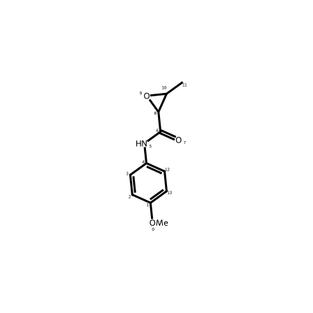 COc1ccc(NC(=O)C2OC2C)cc1